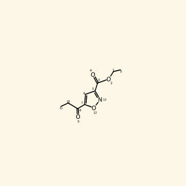 CCOC(=O)c1cc(C(=O)CC)on1